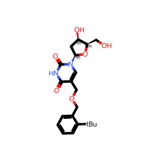 CC(C)(C)c1ccccc1COCc1cn([C@H]2C[C@@H](O)[C@@H](CO)O2)c(=O)[nH]c1=O